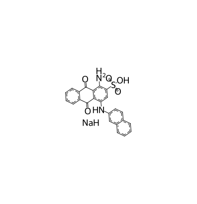 Nc1c(S(=O)(=O)O)cc(Nc2ccc3ccccc3c2)c2c1C(=O)c1ccccc1C2=O.[NaH]